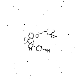 CC(CCCOc1ccccc1Cn1c(C(F)(F)F)cnc1-c1ccc(C#N)cc1)CC(=O)O